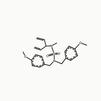 C=CC(C=C)N(C)S(=O)(=O)N(Cc1ccc(OC)cc1)Cc1ccc(OC)cc1